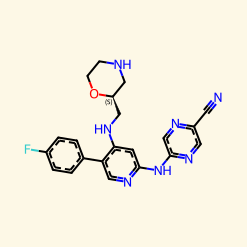 N#Cc1cnc(Nc2cc(NC[C@@H]3CNCCO3)c(-c3ccc(F)cc3)cn2)cn1